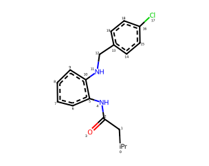 CC(C)CC(=O)Nc1ccccc1NCc1ccc(Cl)cc1